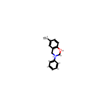 CC(C)(C)c1ccc2c(c1)CN(c1ccccc1)CO2